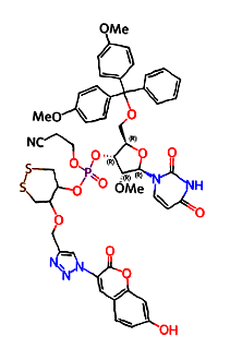 COc1ccc(C(OC[C@H]2O[C@@H](n3ccc(=O)[nH]c3=O)[C@H](OC)[C@@H]2OP(=O)(OCCC#N)OC2CSSCC2OCc2cn(-c3cc4ccc(O)cc4oc3=O)nn2)(c2ccccc2)c2ccc(OC)cc2)cc1